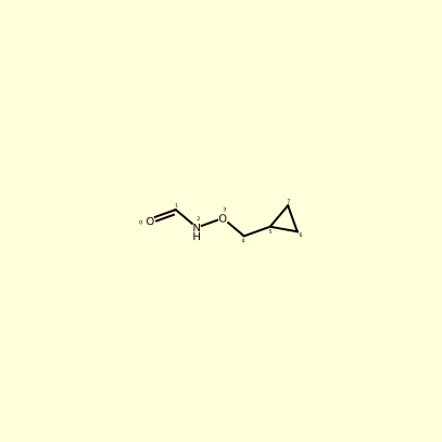 O=CNOCC1CC1